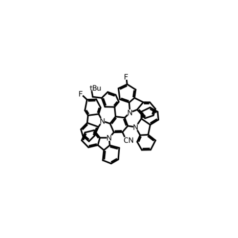 CC(C)(C)Cc1cccc(-c2c(-n3c4ccccc4c4cc(F)ccc43)c(-n3c4ccccc4c4ccccc43)c(C#N)c(-n3c4ccccc4c4ccccc43)c2-n2c3ccccc3c3cc(F)ccc32)c1